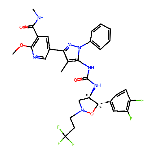 CNC(=O)c1cc(-c2nn(-c3ccccc3)c(NC(=O)N[C@@H]3CN(CCC(F)(F)F)O[C@H]3c3ccc(F)c(F)c3)c2C)cnc1OC